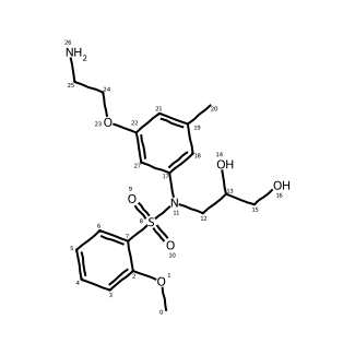 COc1ccccc1S(=O)(=O)N(CC(O)CO)c1cc(C)cc(OCCN)c1